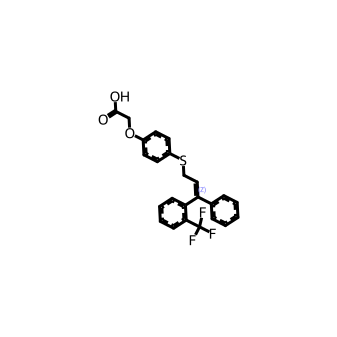 O=C(O)COc1ccc(SC/C=C(/c2ccccc2)c2ccccc2C(F)(F)F)cc1